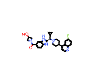 O=C(c1ccc2nc([C@@H](C3CC3)N3CCC(c4ccnc5ccc(F)cc45)CC3)[nH]c2c1)N1CC(O)C1